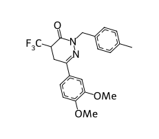 COc1ccc(C2=NN(Cc3ccc(C)cc3)C(=O)C(C(F)(F)F)C2)cc1OC